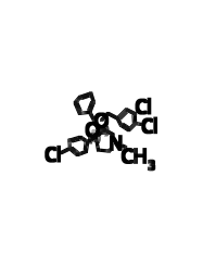 CCN1CC[C@@](OCc2ccccc2)(c2ccc(Cl)cc2)[C@@H](OCc2ccc(Cl)c(Cl)c2)C1